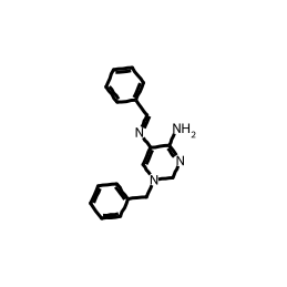 NC1=NCN(Cc2ccccc2)C=C1N=Cc1ccccc1